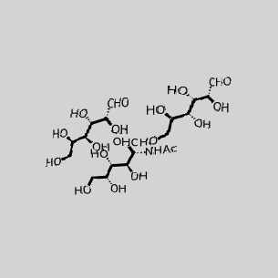 CC(=O)N[C@@H](C=O)[C@@H](O)[C@@H](O)[C@H](O)CO.O=C[C@H](O)[C@@H](O)[C@@H](O)[C@H](O)CO.O=C[C@H](O)[C@@H](O)[C@H](O)[C@H](O)CO